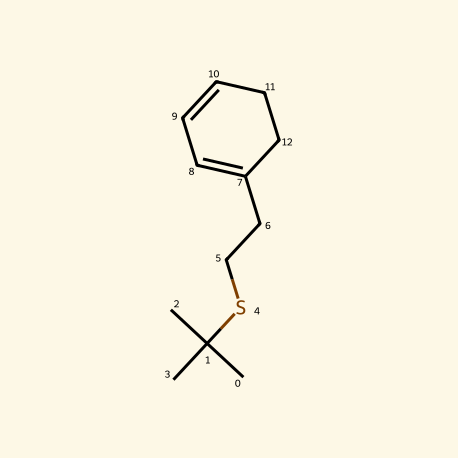 CC(C)(C)SCCC1=CC=CCC1